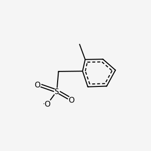 Cc1ccccc1CS([O])(=O)=O